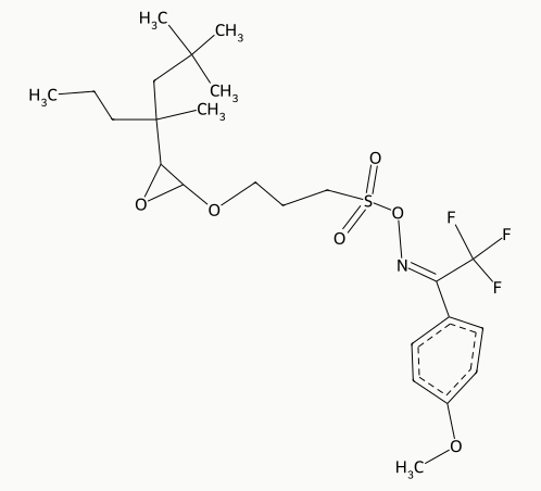 CCCC(C)(CC(C)(C)C)C1OC1OCCCS(=O)(=O)ON=C(c1ccc(OC)cc1)C(F)(F)F